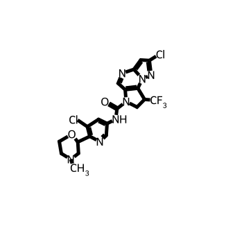 CN1CCOC(c2ncc(NC(=O)N3CC(C(F)(F)F)c4c3cnc3cc(Cl)nn43)cc2Cl)C1